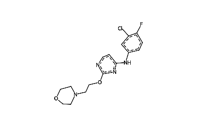 Fc1ccc(Nc2ccnc(OCCN3CCOCC3)n2)cc1Cl